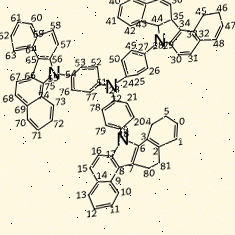 C1=CC2=C(CC1)c1c(c3c4ccccc4ccc3n1-c1ccc(N(c3ccc(N4c5ccc6c(c5C5C=Cc7ccccc7C54)CCC=C6)cc3)c3ccc(-n4c5ccc6ccccc6c5c5ccc6ccccc6c54)cc3)cc1)CC2